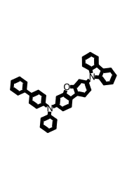 c1ccc(-c2ccc(N(c3ccccc3)c3ccc4c(c3)oc3cc(-n5c6ccccc6c6ccccc65)ccc34)cc2)cc1